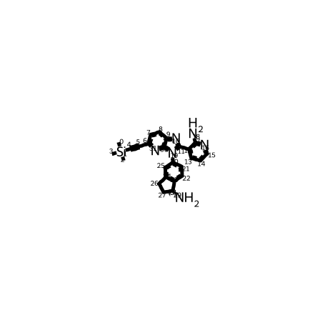 C[Si](C)(C)C#Cc1ccc2nc(-c3cccnc3N)n(-c3ccc4c(c3)CC[C@@H]4N)c2n1